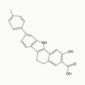 Cc1ccc(-c2ccc3c4c([nH]c3c2)-c2cc(O)c(C(=O)O)cc2CC4)cc1